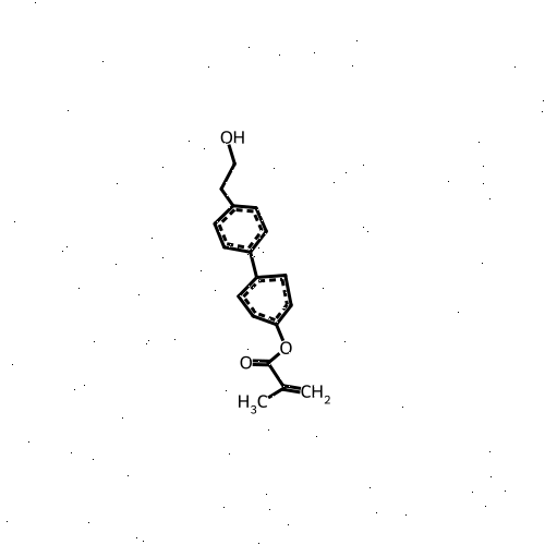 C=C(C)C(=O)Oc1ccc(-c2ccc(CCO)cc2)cc1